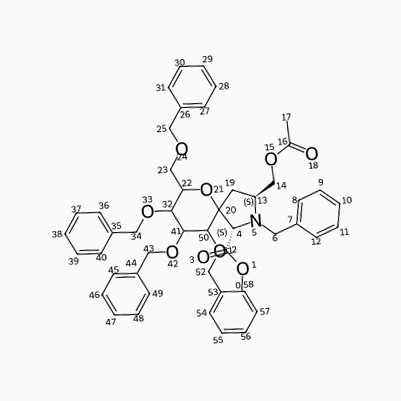 COC(=O)[C@H]1N(Cc2ccccc2)[C@H](COC(C)=O)CC12OC(COCc1ccccc1)C(OCc1ccccc1)C(OCc1ccccc1)C2OCc1ccccc1